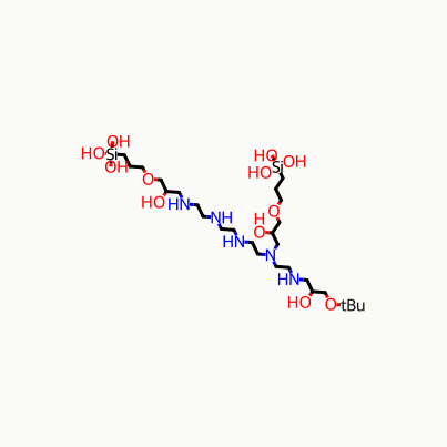 CC(C)(C)OCC(O)CNCCN(CCNCCNCCNCC(O)COCCC[Si](O)(O)O)CC(O)COCCC[Si](O)(O)O